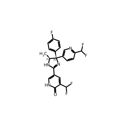 C[C@@H]1NC(c2c[nH]c(=O)c(C(F)F)c2)=N[C@@]1(c1ccc(F)cc1)c1ccc(C(F)F)nc1